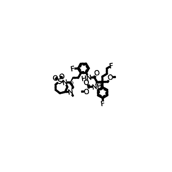 COCC(CCCF)(c1ccc(F)cc1)[C@H](NC(=O)OC)C(=O)Nc1cccc(F)c1CC[C@H]1CN(C)C2CCCS(=O)(=O)N1C2